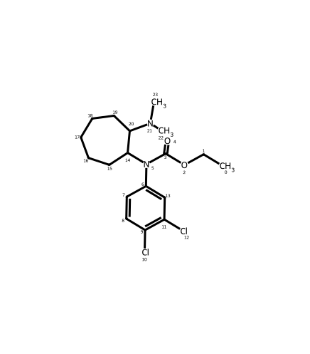 CCOC(=O)N(c1ccc(Cl)c(Cl)c1)C1CCCCCC1N(C)C